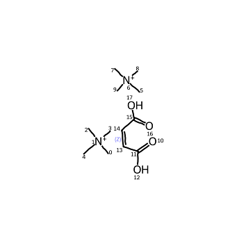 C[N+](C)(C)C.C[N+](C)(C)C.O=C(O)/C=C\C(=O)O